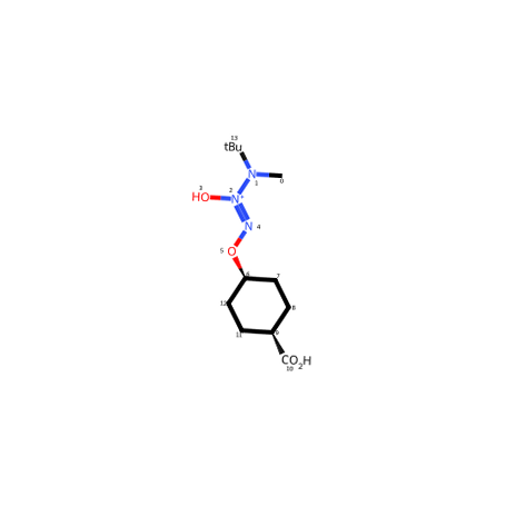 CN(/[N+](O)=N/O[C@H]1CC[C@@H](C(=O)O)CC1)C(C)(C)C